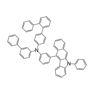 c1ccc(-c2cccc(N(c3ccc(-c4ccccc4-c4ccccc4)cc3)c3cccc(-c4c5ccccc5cc5c4c4ccccc4n5-c4ccccc4)c3)c2)cc1